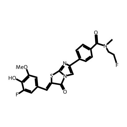 COc1cc(/C=c2\sc3nc(-c4ccc(C(=O)N(C)CCF)cc4)cn3c2=O)cc(F)c1O